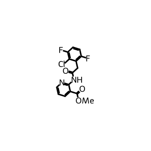 COC(=O)c1cccnc1NC(=O)Cc1c(F)ccc(F)c1Cl